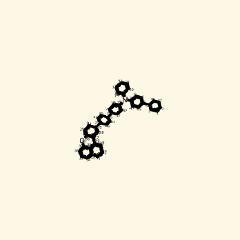 c1ccc(-c2ccc(N(c3ccccc3)c3ccc(-c4ccc(-c5ccc6c(c5)-c5cccc7cccc(c57)O6)cc4)cc3)cc2)cc1